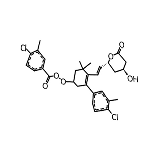 Cc1cc(C(=O)OOC2CC(c3ccc(Cl)c(C)c3)=C(C=C[C@H]3C[C@H](O)CC(=O)O3)C(C)(C)C2)ccc1Cl